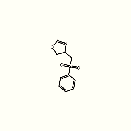 O=S(=O)(CC1CO[C]=N1)c1ccccc1